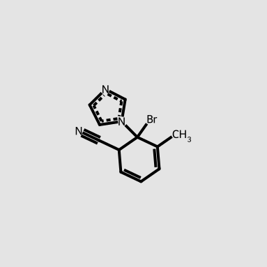 CC1=CC=CC(C#N)C1(Br)n1ccnc1